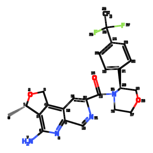 C[C@@H]1OCc2c1c(N)nc1cnc(C(=O)N3CCOC[C@@H]3c3ccc(C(F)(F)C(F)(F)F)cc3)cc21